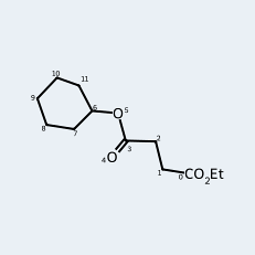 CCOC(=O)CCC(=O)OC1CCCCC1